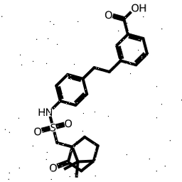 CC1(C)C2CCC1(CS(=O)(=O)Nc1ccc(CCc3cccc(C(=O)O)c3)cc1)C(=O)C2